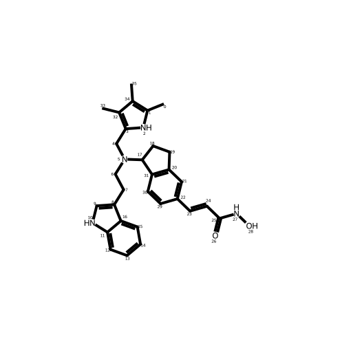 Cc1[nH]c(CN(CCc2c[nH]c3ccccc23)C2CCc3cc(/C=C/C(=O)NO)ccc32)c(C)c1C